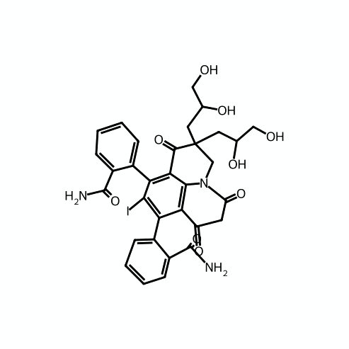 NC(=O)c1ccccc1-c1c(I)c(-c2ccccc2C(N)=O)c2c3c1C(=O)CC(=O)N3CC(CC(O)CO)(CC(O)CO)C2=O